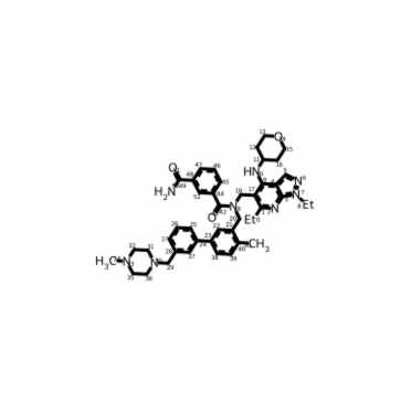 CCc1nc2c(cnn2CC)c(NC2CCOCC2)c1CN(Cc1cc(-c2cccc(CN3CCN(C)CC3)c2)ccc1C)C(=O)c1cccc(C(N)=O)c1